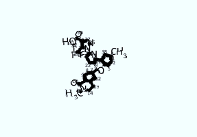 Cc1ccc(OCc2ccc3c(c2)CCN(C)C3=O)c(-c2cccc(-n3ncc(C(=O)O)c3C(F)(F)F)n2)c1